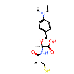 CCN(CC)c1ccc(CO[C@](C)(NC(=O)C(C)CS)C(=O)O)cc1